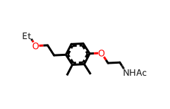 CCOCCc1ccc(OCCNC(C)=O)c(C)c1C